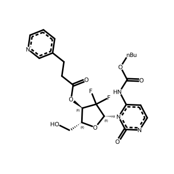 CCCCOC(=O)Nc1ccnc(=O)n1[C@@H]1O[C@H](CO)[C@@H](OC(=O)CCc2cccnc2)C1(F)F